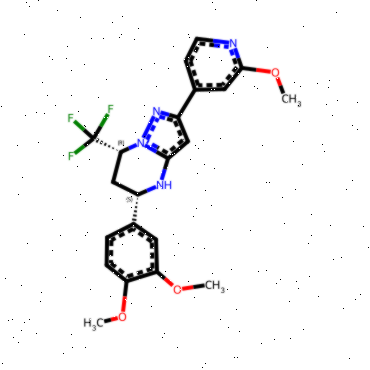 COc1cc(-c2cc3n(n2)[C@@H](C(F)(F)F)C[C@@H](c2ccc(OC)c(OC)c2)N3)ccn1